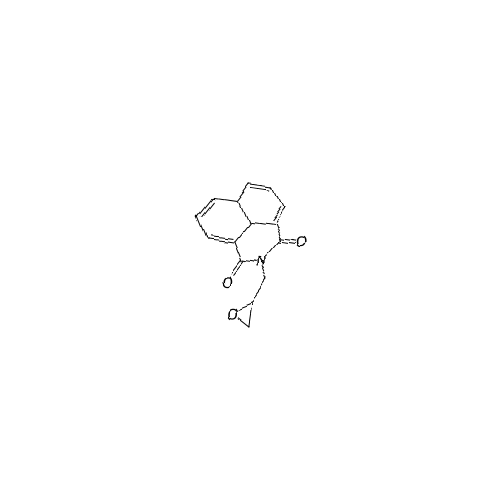 O=C1C2=CC=CC3C=CC=C(C(=O)N1CC1CO1)C23